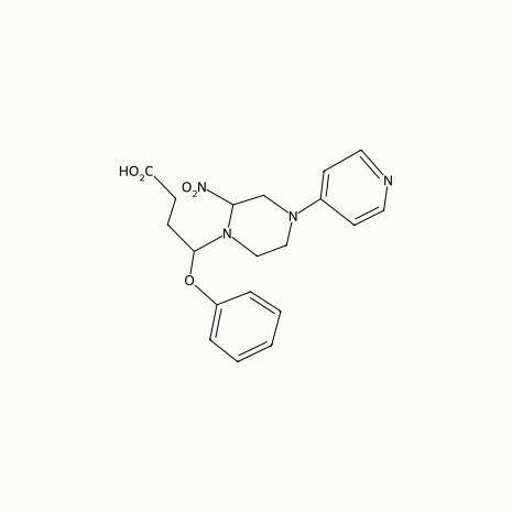 O=C(O)CCC(Oc1ccccc1)N1CCN(c2ccncc2)CC1[N+](=O)[O-]